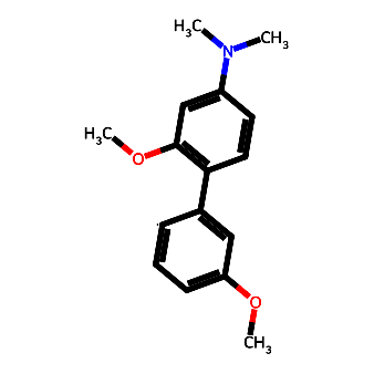 COc1cc[c]c(-c2ccc(N(C)C)cc2OC)c1